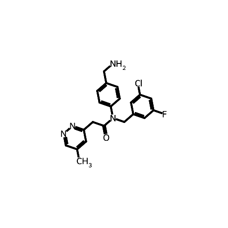 Cc1cnnc(CC(=O)N(Cc2cc(F)cc(Cl)c2)c2ccc(CN)cc2)c1